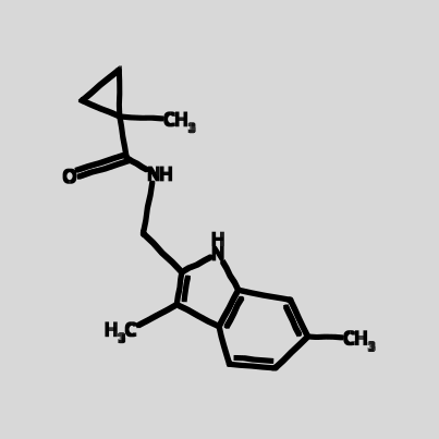 Cc1ccc2c(C)c(CNC(=O)C3(C)CC3)[nH]c2c1